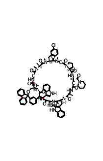 CCCC[C@@H]1NC(=O)[C@H](Cc2c[nH]c3ccccc23)NC(=O)[C@H](C)NC(=O)C[C@@H](C(=O)N2CCCCC2)NC(=O)[C@@H]2CCCN2C(=O)CN(C)C(=O)[C@H](Cc2cccc(Cl)c2)N(C)C(=O)[C@H](C)N(C)C(=O)CNC(=O)[C@@H]2COC(c3ccccc3)(c3ccccc3)c3cccc(c3)[C@@](Cc3c[nH]c4ccccc34)(NC1=O)C(=O)N2